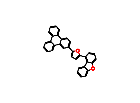 c1ccc2c(c1)oc1cccc(-c3ccc(-c4ccc5c6ccccc6c6ccccc6c5c4)o3)c12